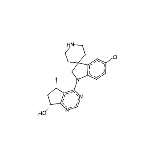 C[C@@H]1C[C@@H](O)c2ncnc(N3CC4(CCNCC4)c4cc(Cl)ccc43)c21